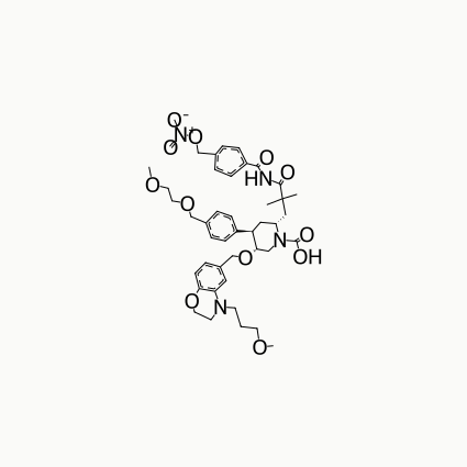 COCCCN1CCOc2ccc(CO[C@H]3CN(C(=O)O)[C@@H](CC(C)(C)C(=O)NC(=O)c4ccc(CO[N+](=O)[O-])cc4)C[C@@H]3c3ccc(COCCOC)cc3)cc21